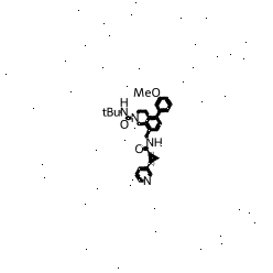 COc1cccc(-c2ccc(CNC(=O)[C@H]3C[C@H]3c3cccnc3)c3c2CCN(C(=O)NC(C)(C)C)C3)c1